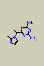 Cc1nccn1C(C)c1nc(N)nc(N)n1